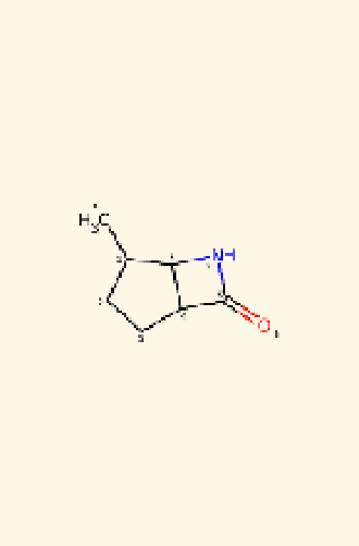 CC1CCC2C(=O)NC12